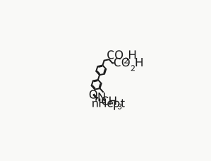 CCCCCCCC(=O)N(C)Cc1cccc(-c2ccc(CC(CC(=O)O)C(=O)O)cc2)c1